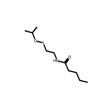 CCCCC(=O)NCCSOC(C)C